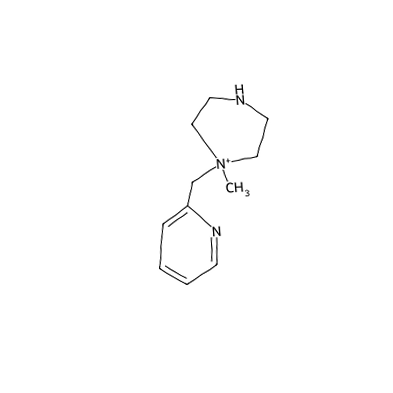 C[N+]1(Cc2ccccn2)CCNCC1